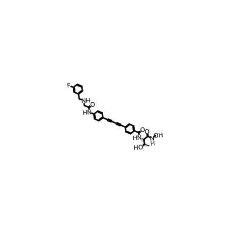 C[C@@H](O)[C@H](NC(=O)c1ccc(C#CC#Cc2ccc(NC(=O)CNCc3cccc(F)c3)cc2)cc1)C(=O)NO